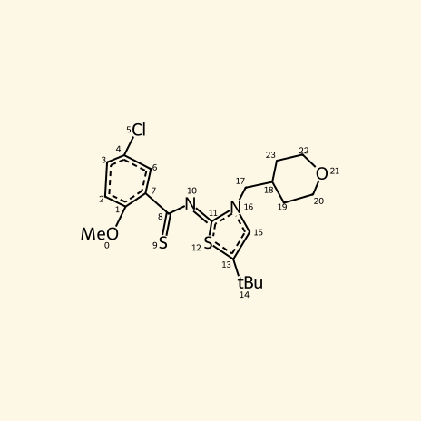 COc1ccc(Cl)cc1C(=S)/N=c1\sc(C(C)(C)C)cn1CC1CCOCC1